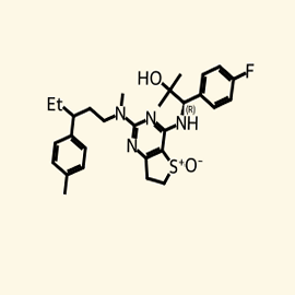 CCC(CCN(C)c1nc2c(c(N[C@H](c3ccc(F)cc3)C(C)(C)O)n1)[S+]([O-])CC2)c1ccc(C)cc1